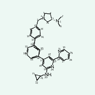 CN(C)[C@H]1CCN(Cc2ccc(-c3cncc(-c4cc(NC5CC5)nc(-c5ccccn5)c4)c3)cc2)C1